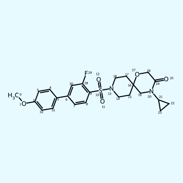 COc1ccc(-c2ccc(S(=O)(=O)N3CCC4(CC3)CN(C3CC3)C(=O)CO4)c(F)c2)cc1